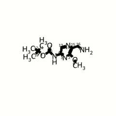 COc1nc(NC(=O)OC(C)(C)C)cnc1CN